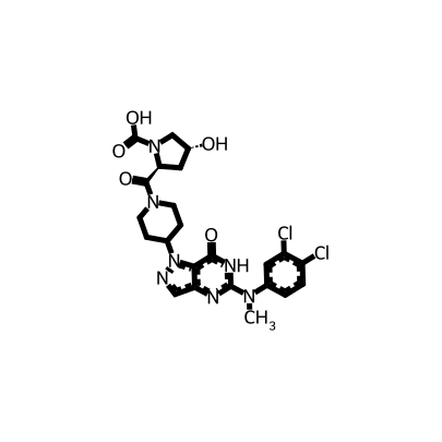 CN(c1ccc(Cl)c(Cl)c1)c1nc2cnn(C3CCN(C(=O)[C@@H]4C[C@@H](O)CN4C(=O)O)CC3)c2c(=O)[nH]1